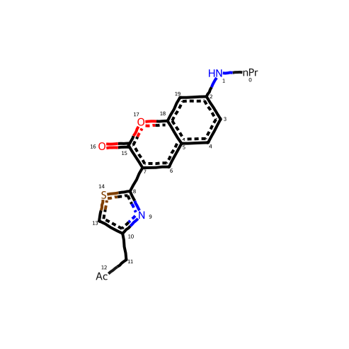 CCCNc1ccc2cc(-c3nc(CC(C)=O)cs3)c(=O)oc2c1